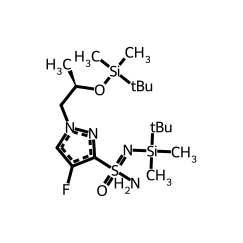 C[C@H](Cn1cc(F)c(S(N)(=O)=N[Si](C)(C)C(C)(C)C)n1)O[Si](C)(C)C(C)(C)C